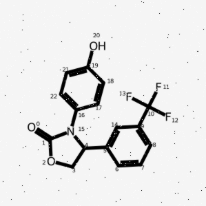 O=C1OCC(c2cccc(C(F)(F)F)c2)N1c1ccc(O)cc1